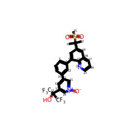 CC(C)(c1cc(-c2cccc(-c3cc(C(O)(C(F)(F)F)C(F)(F)F)c[n+]([O-])c3)c2)c2ncccc2c1)S(C)(=O)=O